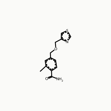 Cc1cc(COCc2cscn2)ccc1C(N)=O